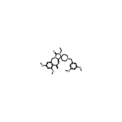 C=C1C=C2N(Cc3cc(OC)cc(OC)c31)C(=O)N(CC)C21CCN(Cc2cc(OC)cc(OC)c2)CC1